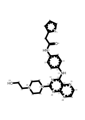 O=C(Cc1cccs1)Nc1ccc(Nc2nc(N3CCN(CCO)CC3)nc3nccnc23)cc1